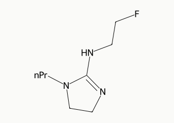 CCCN1CCN=C1NCCF